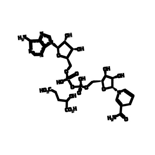 NC(=O)C1=CN([C@@H]2O[C@H](COP(=O)(O)OP(=O)(O)OC[C@H]3O[C@@H](n4cnc5c(N)ncnc54)[C@H](O)[C@@H]3O)[C@@H](O)[C@H]2O)C=CC1.O=C(O)CCC(O)C(=O)O